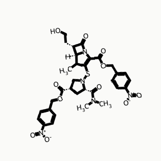 CC1C(SN2C[C@@H](C(=O)OCc3ccc([N+](=O)[O-])cc3)C[C@H]2C(=O)N(C)C)=C(C(=O)OCc2ccc([N+](=O)[O-])cc2)N2C(=O)[C@@H](CCO)[C@H]12